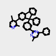 Cc1cc(-c2ccccc2)nc(-c2cccc(C3(c4ccccc4)c4ccccc4-c4ccc(-c5c(C)ccnc5C)cc43)c2)n1